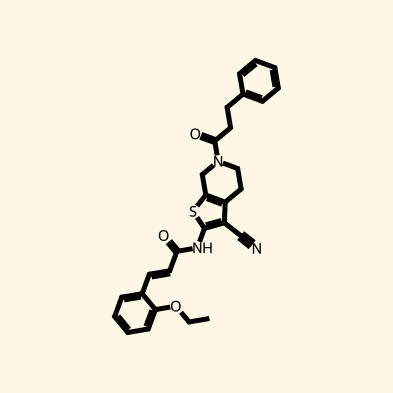 CCOc1ccccc1C=CC(=O)Nc1sc2c(c1C#N)CCN(C(=O)CCc1ccccc1)C2